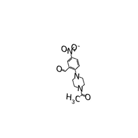 CC(=O)N1CCN(c2ccc([N+](=O)[O-])cc2C=O)CC1